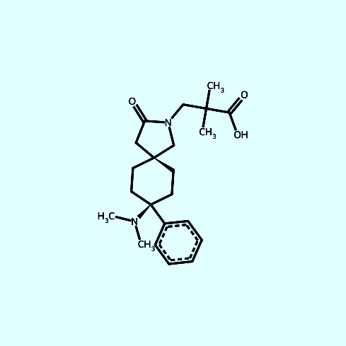 CN(C)[C@]1(c2ccccc2)CC[C@@]2(CC1)CC(=O)N(CC(C)(C)C(=O)O)C2